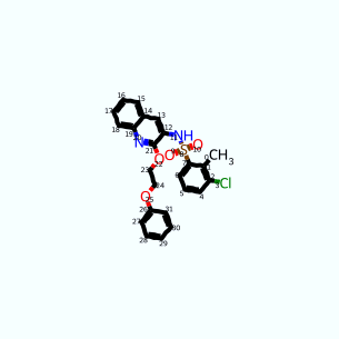 Cc1c(Cl)cccc1S(=O)(=O)Nc1cc2ccccc2nc1OCCOc1ccccc1